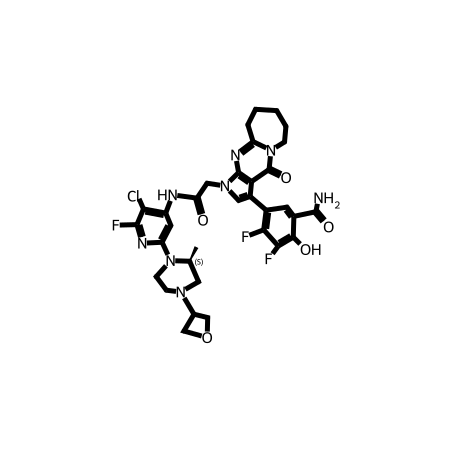 C[C@H]1CN(C2COC2)CCN1c1cc(NC(=O)Cn2cc(-c3cc(C(N)=O)c(O)c(F)c3F)c3c(=O)n4c(nc32)CCCCC4)c(Cl)c(F)n1